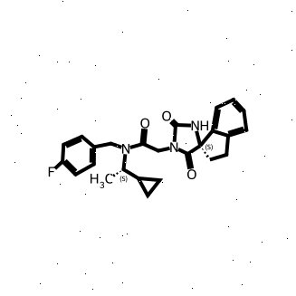 C[C@@H](C1CC1)N(Cc1ccc(F)cc1)C(=O)CN1C(=O)N[C@]2(CCc3ccccc32)C1=O